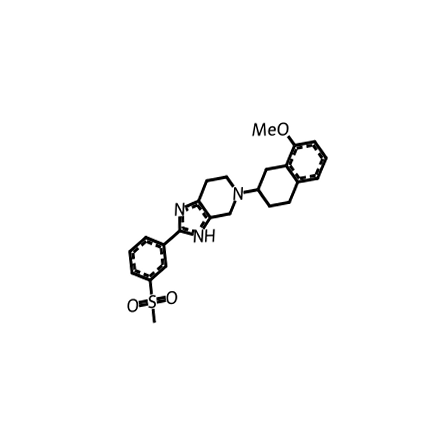 COc1cccc2c1CC(N1CCc3nc(-c4cccc(S(C)(=O)=O)c4)[nH]c3C1)CC2